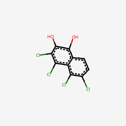 Oc1c(Cl)c(Cl)c2c(Cl)c(Cl)ccc2c1O